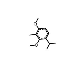 COc1ccc(C(C)C)c(OC)c1C